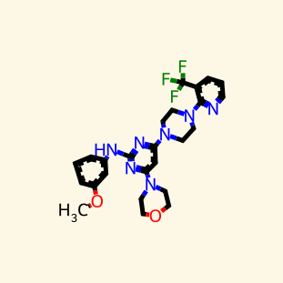 COc1cccc(Nc2nc(N3CCOCC3)cc(N3CCN(c4ncccc4C(F)(F)F)CC3)n2)c1